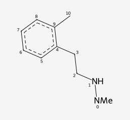 CNNCCc1ccccc1C